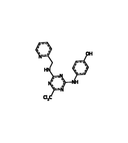 Oc1ccc(Nc2nc(NCc3ccccn3)nc(C(Cl)(Cl)Cl)n2)cc1